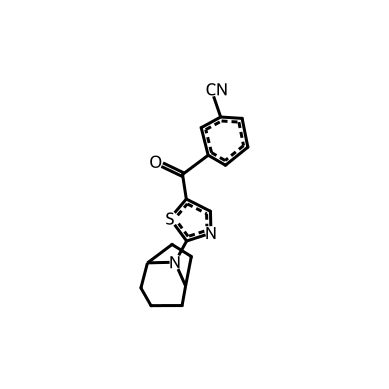 N#Cc1cccc(C(=O)c2cnc(N3C4CCCC3CC4)s2)c1